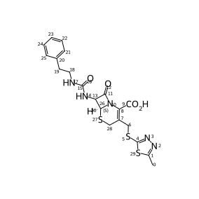 Cc1nnc(SCC2=C(C(=O)O)N3C(=O)C(NC(=O)NCCc4ccccc4)[C@@H]3SC2)s1